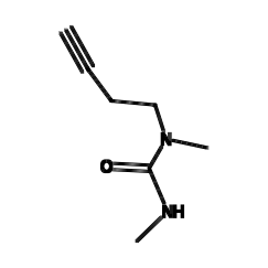 C#CCCN(C)C(=O)NC